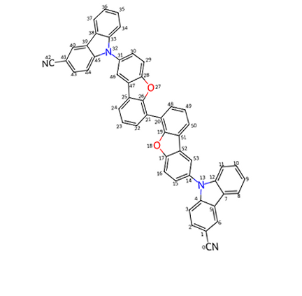 N#Cc1ccc2c(c1)c1ccccc1n2-c1ccc2oc3c(-c4cccc5c4oc4ccc(-n6c7ccccc7c7cc(C#N)ccc76)cc45)cccc3c2c1